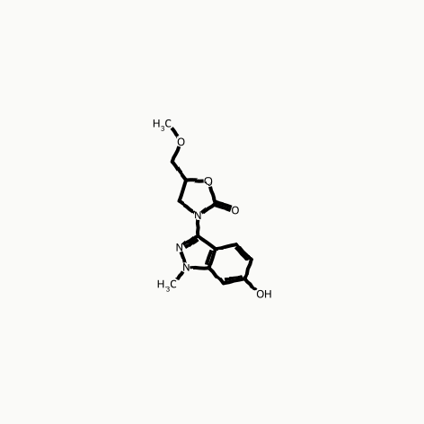 COCC1CN(c2nn(C)c3cc(O)ccc23)C(=O)O1